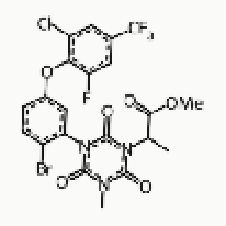 COC(=O)C(C)n1c(=O)n(C)c(=O)n(-c2cc(Oc3c(F)cc(C(F)(F)F)cc3Cl)ccc2Br)c1=O